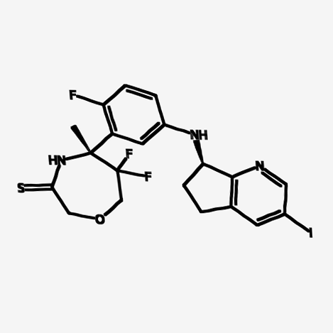 C[C@]1(c2cc(N[C@@H]3CCc4cc(I)cnc43)ccc2F)NC(=S)COCC1(F)F